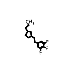 CCCC1CCC(CCc2cc(F)c(F)c(F)c2)C1